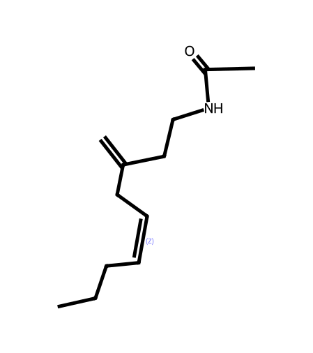 C=C(C/C=C\CCC)CCNC(C)=O